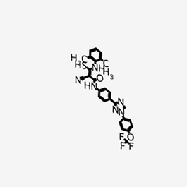 Cc1cccc(C)c1NC(S)=C(C#N)C(=O)Nc1ccc(-c2ncn(-c3ccc(OC(F)(F)F)cc3)n2)cc1